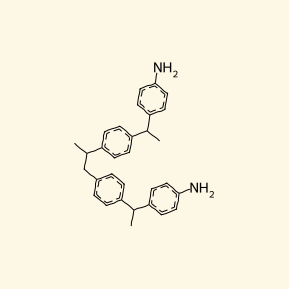 CC(Cc1ccc(C(C)c2ccc(N)cc2)cc1)c1ccc(C(C)c2ccc(N)cc2)cc1